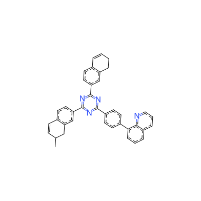 CC1C=Cc2ccc(-c3nc(-c4ccc(-c5cccc6cccnc56)cc4)nc(-c4ccc5c(c4)CCC=C5)n3)cc2C1